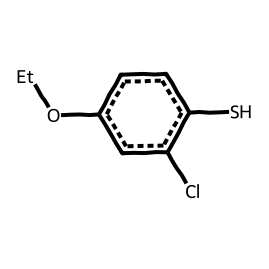 CCOc1ccc(S)c(Cl)c1